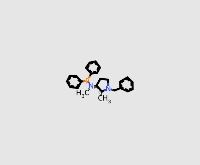 C[C@@H]1[C@H](N(C)P(c2ccccc2)c2ccccc2)CCN1Cc1ccccc1